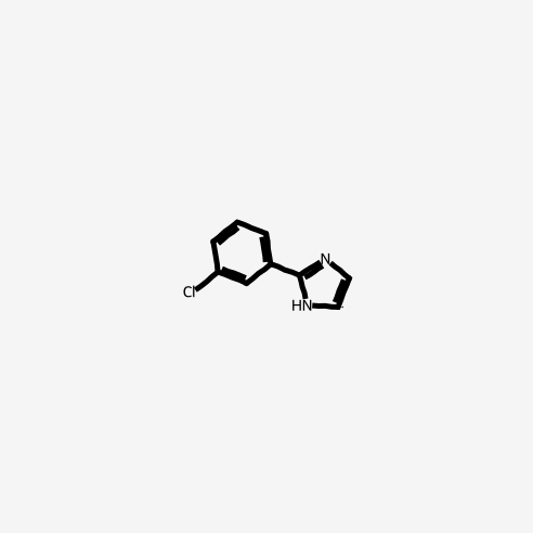 Clc1cccc(-c2nc[c][nH]2)c1